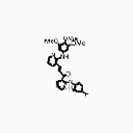 COc1cc(Nc2ncccc2C=CC(=O)c2cccnc2Nc2ccc(F)cc2)cc(OC)c1OC